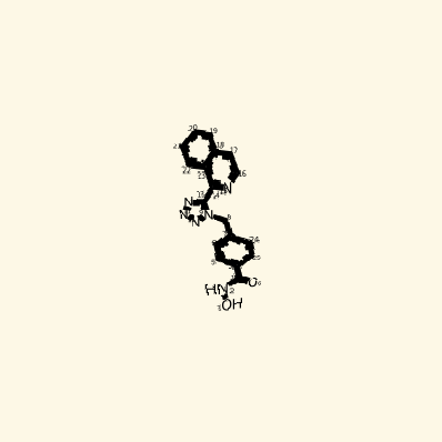 O=C(NO)c1ccc(Cn2nnnc2-c2nccc3ccccc23)cc1